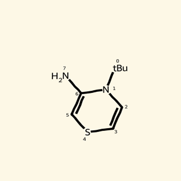 CC(C)(C)N1C=CSC=C1N